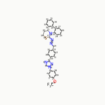 FC(F)(F)Oc1ccc(-n2cnc(-c3ccc(/C=N/N=C4\SCCCN4c4ccccc4-c4ccccc4)cc3)n2)cc1